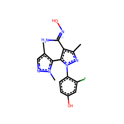 Cc1cnn(C)c1-c1c(/C(N)=N/O)c(C)nn1-c1ccc(O)cc1F